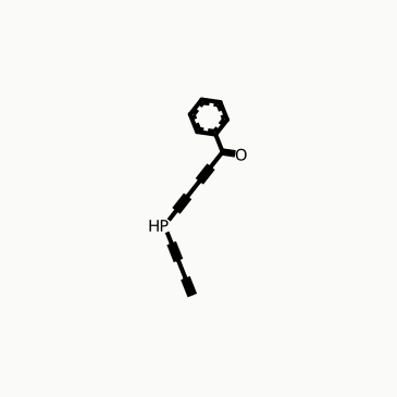 C#CC#CPC#CC#CC(=O)c1ccccc1